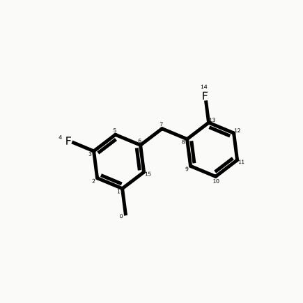 Cc1cc(F)cc(Cc2ccccc2F)c1